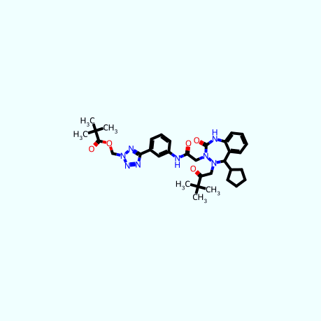 CC(C)(C)C(=O)CN1C(C2CCCC2)c2ccccc2NC(=O)N1CC(=O)Nc1cccc(-c2nnn(COC(=O)C(C)(C)C)n2)c1